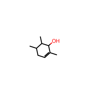 CC1=CCC(C)C(C)C1O